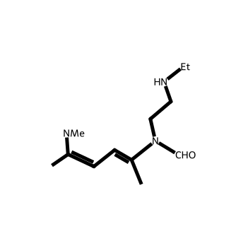 CCNCCN(C=O)/C(C)=C/C=C(/C)NC